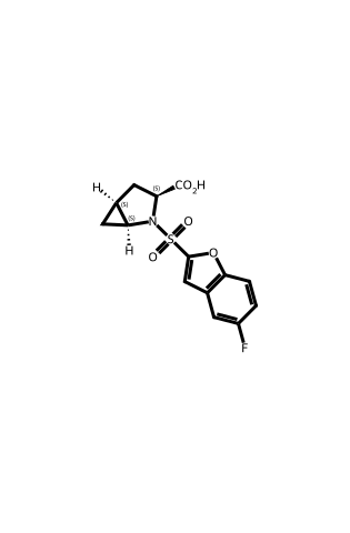 O=C(O)[C@@H]1C[C@@H]2C[C@@H]2N1S(=O)(=O)c1cc2cc(F)ccc2o1